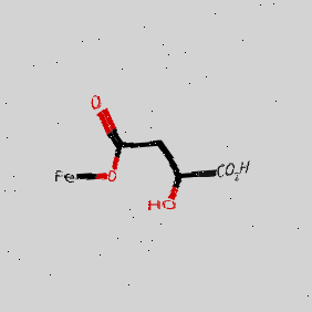 O=C(CC(O)C(=O)O)[O][Fe]